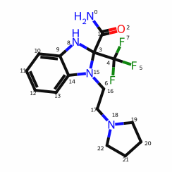 NC(=O)C1(C(F)(F)F)Nc2c[c]ccc2N1CCN1CCCC1